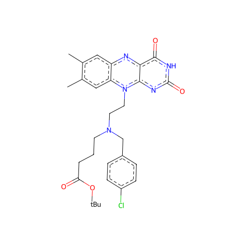 Cc1cc2nc3c(=O)[nH]c(=O)nc-3n(CCN(CCCC(=O)OC(C)(C)C)Cc3ccc(Cl)cc3)c2cc1C